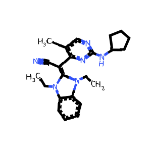 CCN1C(=C(C#N)c2nc(NC3CCCC3)ncc2C)N(CC)c2ccccc21